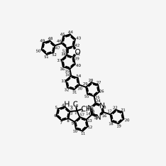 CC1(C)c2ccccc2-c2cccc(-c3nc(-c4ccccc4)nc(-c4cccc(-c5cccc(-c6ccc7c(c6)oc6cccc(-c8ccccc8)c67)c5)c4)n3)c21